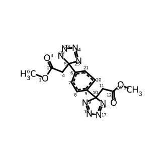 COC(=O)CC1(c2ccc(C3(CC(=O)OC)N=NN=N3)cc2)N=NN=N1